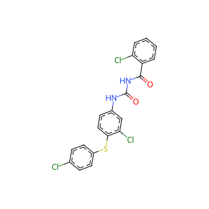 O=C(NC(=O)c1ccccc1Cl)Nc1ccc(Sc2ccc(Cl)cc2)c(Cl)c1